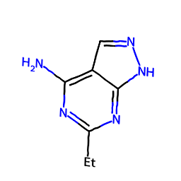 CCc1nc(N)c2cn[nH]c2n1